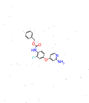 Nc1cc(Oc2ccc(NC(=O)OCc3ccccc3)c(F)c2)ccn1